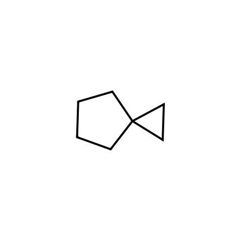 C1CCC2(C1)CC2